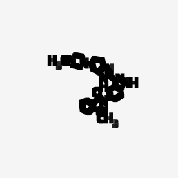 COc1ccccc1C(=O)Nc1ccc2[nH]nc(-c3nc4ccc(N5CCN(C)CC5)cc4[nH]3)c2c1